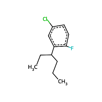 CCCC(CC)c1cc(Cl)ccc1F